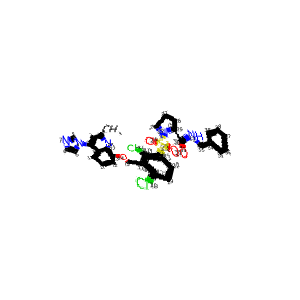 Cc1cc(-n2ccnc2)c2cccc(OCc3c(Cl)ccc(S(=O)(=O)N4CCC[C@H]4C(=O)NCc4ccccc4)c3Cl)c2n1